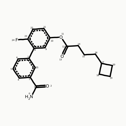 NC(=O)c1cccc(-c2cc(OC(=O)CCCC3CCC3)ccc2F)c1